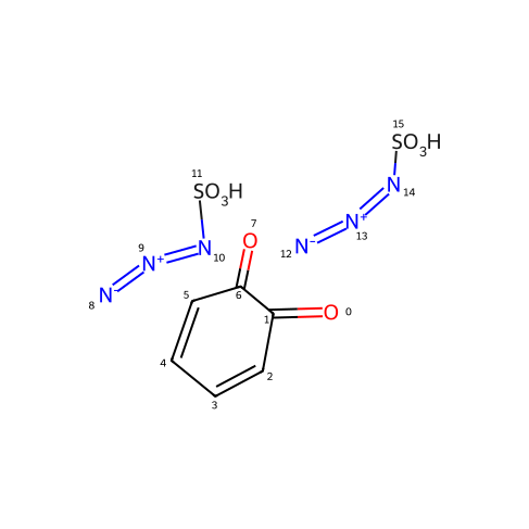 O=C1C=CC=CC1=O.[N-]=[N+]=NS(=O)(=O)O.[N-]=[N+]=NS(=O)(=O)O